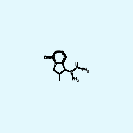 CC1Cn2c(cccc2=O)C1P(P)PP